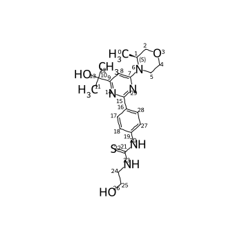 C[C@H]1COCCN1c1cc(C(C)(C)O)nc(-c2ccc(NC(=S)NCCO)cc2)n1